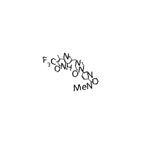 CNC(=O)c1ccc(N2CCN(Cc3cnc4c(C)c(C(F)(F)F)c(=O)[nH]c4c3)CC2=O)cn1